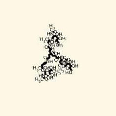 CNC(CCC(=O)NC#CCC(C)(C)OC(OC(CO)[C@@H](C)O)[C@H](CO)NC(C)=O)(CCC(=O)NCC(C)(C)OC1OC(CO)C(O)C(O)C1NC(C)=O)CCC(=O)NC(C)CC(C)(C)OC1OC(CO)C(O)C(O)C1NC(C)=O